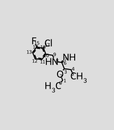 CCOC(CC)C(=N)NCc1cccc(F)c1Cl